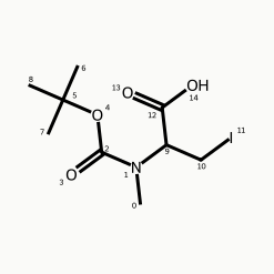 CN(C(=O)OC(C)(C)C)C(CI)C(=O)O